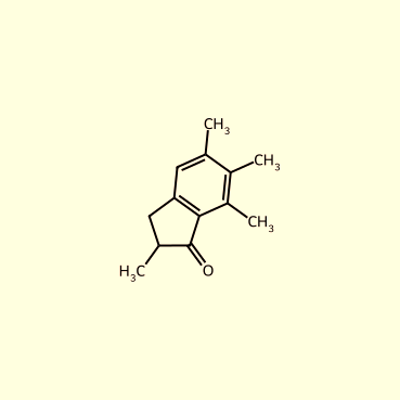 Cc1cc2c(c(C)c1C)C(=O)C(C)C2